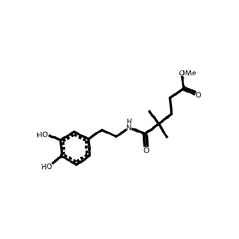 COC(=O)CCC(C)(C)C(=O)NCCc1ccc(O)c(O)c1